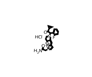 Cl.NC(=O)Cn1ccc(C=C2CN(C(C(=O)C3CC3)c3ccccc3F)CCC2S)n1